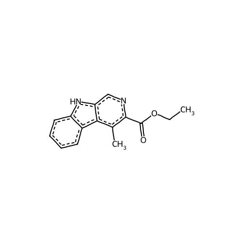 CCOC(=O)c1ncc2[nH]c3ccccc3c2c1C